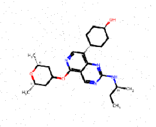 CC[C@H](C)Nc1ncc2c(OC3C[C@@H](C)O[C@@H](C)C3)ncc([C@H]3CC[C@H](O)CC3)c2n1